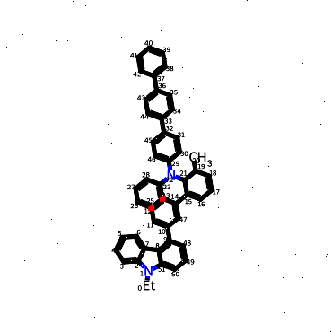 CCn1c2ccccc2c2c(-c3cccc(C4=CC=CC(C)C4N(c4ccccc4)c4ccc(-c5ccc(-c6ccccc6)cc5)cc4)c3)cccc21